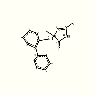 CC1=NC(C)(Nc2ccccc2-c2ccccc2)C(=O)N1